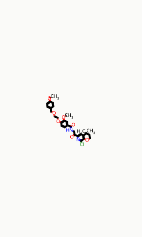 COc1ccc(COCCOc2ccc(C(=O)NCC(=O)c3cc4c(c(Cl)n3)OCCC4(C)C)cc2OC)cc1